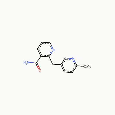 COc1ccc(Cc2ncccc2C(N)=O)cn1